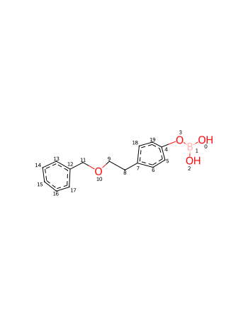 OB(O)Oc1ccc(CCOCc2ccccc2)cc1